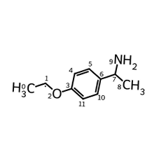 C[CH]Oc1ccc(C(C)N)cc1